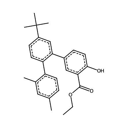 CCOC(=O)c1cc(-c2cc(C(C)(C)C)ccc2-c2ccc(C)cc2C)ccc1O